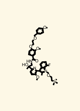 COc1ccc(COCCOc2ccc(C(=O)NCC(C)(O)c3ccc(OC)c(-c4c(C)n(COCC[Si](C)(C)C)c5c(F)cccc45)n3)cc2OC)cc1